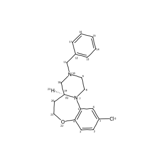 Clc1ccc2c(c1)N1CCN(Cc3ccccc3)C[C@@H]1CCO2